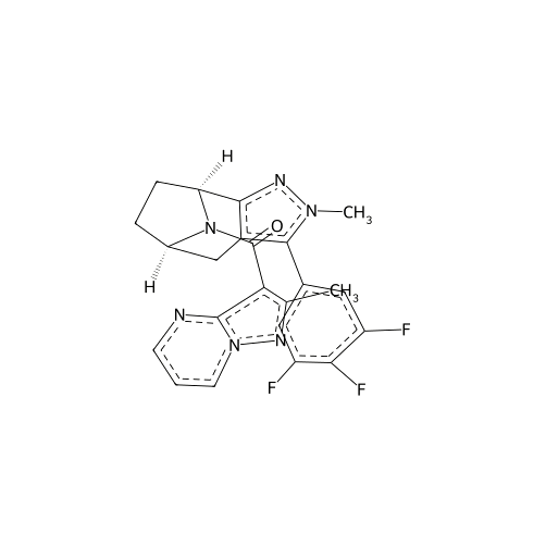 Cc1nn2cccnc2c1C(=O)N1[C@@H]2CC[C@H]1c1nn(C)c(-c3cc(F)c(F)c(F)c3)c1C2